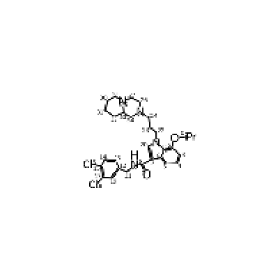 CC(C)Oc1cccc2c(C(=O)NCc3ccc(Cl)c(Cl)c3)cn(CCCN3CCN4CCCCC4C3)c12